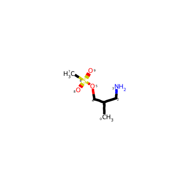 CC(CN)COS(C)(=O)=O